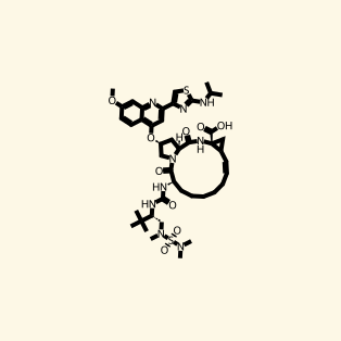 COc1ccc2c(O[C@@H]3C[C@H]4C(=O)N[C@]5(C(=O)O)CC5/C=C\CCCCC[C@H](NC(=O)N[C@H](CN(C)S(=O)(=O)N(C)C)C(C)(C)C)C(=O)N4C3)cc(-c3csc(NC(C)C)n3)nc2c1